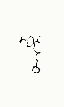 COC(=O)C1(CNC(=O)OCc2ccccc2)CCN(C(=O)O)CC1